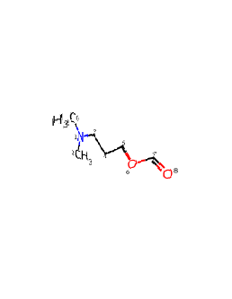 CN(C)CCCO[C]=O